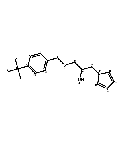 CC(C)(C)c1ccc(CSCC(O)Cn2ccnc2)cc1